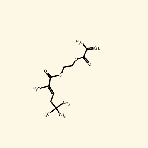 C=C(C)C(=O)OCCOC(=O)C(C)=CCC(C)(C)C